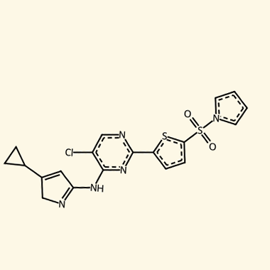 O=S(=O)(c1ccc(-c2ncc(Cl)c(NC3=NCC(C4CC4)=C3)n2)s1)n1cccc1